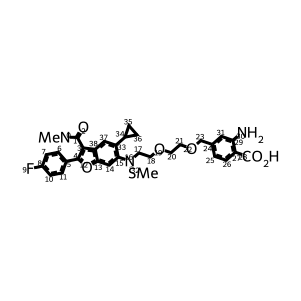 CNC(=O)c1c(-c2ccc(F)cc2)oc2cc(N(CCOCCOCc3ccc(C(=O)O)c(N)c3)SC)c(C3CC3)cc12